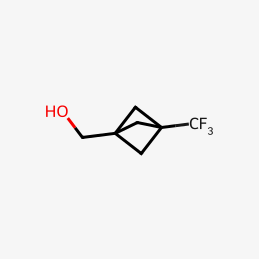 OCC12CC(C(F)(F)F)(C1)C2